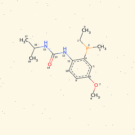 CCP(C)c1cc(OC)ccc1NC(=O)NC(C)C